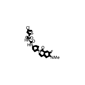 CNc1cc2ccn(-c3ccc(NC(=O)NS(=O)(=O)c4cc(Cl)cs4)cc3)c(=O)c2cc1F